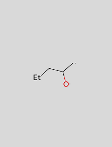 [CH2]C([O])CCC